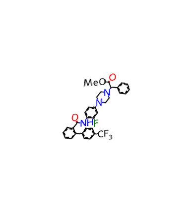 COC(=O)C(c1ccccc1)N1CCN(c2ccc(NC(=O)c3ccccc3-c3ccc(C(F)(F)F)cc3)c(F)c2)CC1